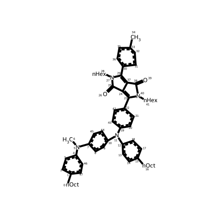 CCCCCCCCc1ccc(N(C)c2ccc(N(c3ccc(CCCCCCCC)cc3)c3ccc(C4=C5C(=O)N(CCCCCC)C(c6ccc(C)cc6)=C5C(=O)N4CCCCCC)cc3)cc2)cc1